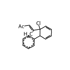 CC(=O)/C=C(\C)C1(Cl)C=CC=CC1c1ccccc1